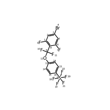 Fc1cc(Br)cc(F)c1C(F)(F)Oc1ccc(S(F)(F)(F)(F)F)cc1